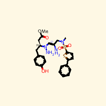 COC(=O)C[C@H](Cc1ccc(O)cc1)N(N)/C=C(\N)CN(C)S(=O)(=O)c1ccc(-c2ccccc2)s1